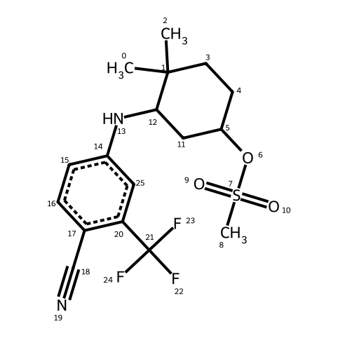 CC1(C)CCC(OS(C)(=O)=O)CC1Nc1ccc(C#N)c(C(F)(F)F)c1